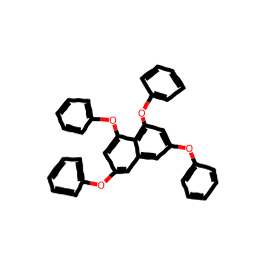 c1ccc(Oc2cc(Oc3ccccc3)c3c(Oc4ccccc4)cc(Oc4ccccc4)cc3c2)cc1